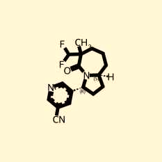 CC1(C(F)F)CCC[C@H]2CC[C@H](c3cncc(C#N)c3)N2C1=O